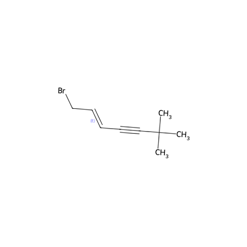 CC(C)(C)C#C/C=C/CBr